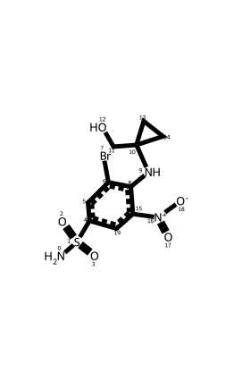 NS(=O)(=O)c1cc(Br)c(NC2(CO)CC2)c([N+](=O)[O-])c1